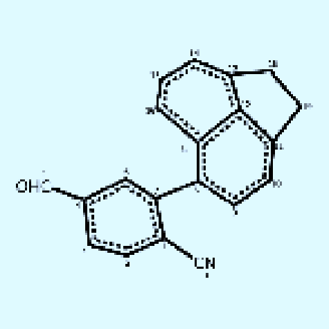 N#Cc1ccc(C=O)cc1-c1ccc2c3c(cccc13)CC2